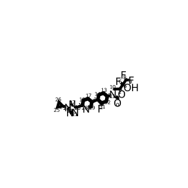 O=C1OC(C(O)(F)C(F)F)CN1c1ccc(-c2ccc(-c3nnn(C4CC4)n3)nc2)c(F)c1